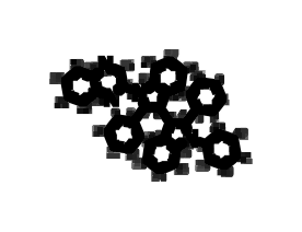 c1ccc(-c2c(-c3c(-c4ccccc4)n(-c4cnc5ccccc5n4)c4ccccc34)c3ccccc3n2-c2ccccc2)cc1